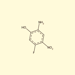 Nc1cc([N+](=O)[O-])c(F)cc1O